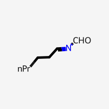 CCCCCC=NC=O